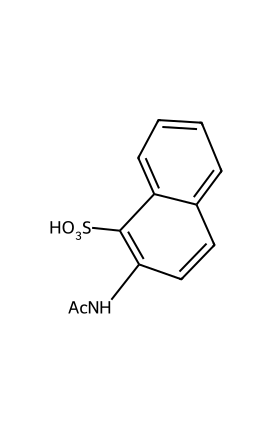 CC(=O)Nc1ccc2ccccc2c1S(=O)(=O)O